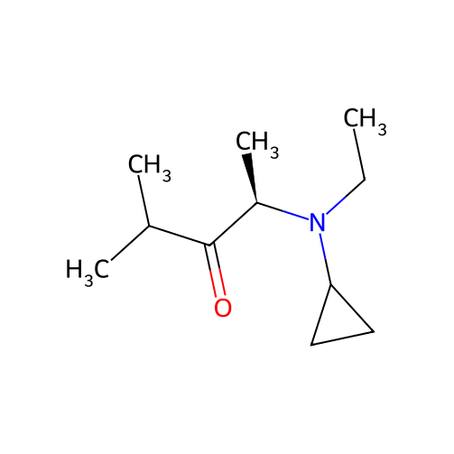 CCN(C1CC1)[C@H](C)C(=O)C(C)C